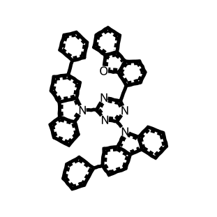 c1ccc(-c2ccc3c4ccccc4n(-c4nc(-c5cccc6c5oc5ccccc56)nc(-n5c6ccccc6c6ccc(-c7ccccc7)cc65)n4)c3c2)cc1